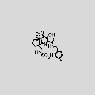 CCC1C2CCC(CNC(=O)O)(CO2)c2nc(C(=O)NCc3ccc(F)cc3)c(O)c(=O)n21